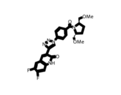 COC[C@H]1CC[C@H](COC)N1C(=O)c1ccc(-n2cc(-c3cc4cc(F)c(F)cc4[nH]c3=O)nn2)cc1